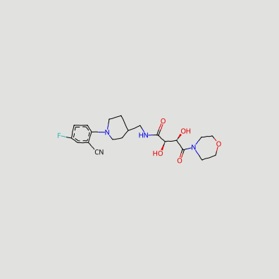 N#Cc1cc(F)ccc1N1CCC(CNC(=O)[C@H](O)[C@@H](O)C(=O)N2CCOCC2)CC1